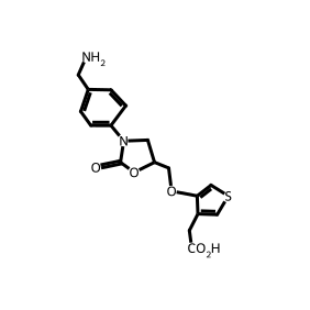 NCc1ccc(N2CC(COc3cscc3CC(=O)O)OC2=O)cc1